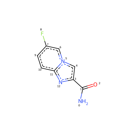 NC(=O)c1cn2cc(F)ccc2n1